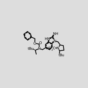 C[C@H](N(Cc1ccc2c(c1)[nH]c(=N)n2CC1CCC(C(C)(C)C)N1C(=O)O)C(=O)OCc1ccccc1)C(C)(C)C